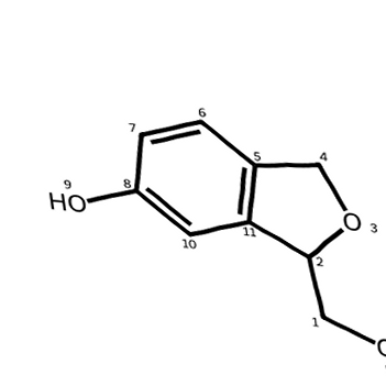 CCC1OCc2ccc(O)cc21